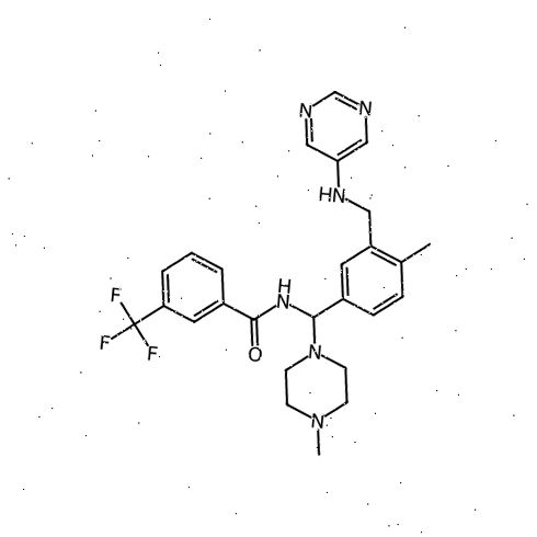 Cc1ccc(C(NC(=O)c2cccc(C(F)(F)F)c2)N2CCN(C)CC2)cc1CNc1cncnc1